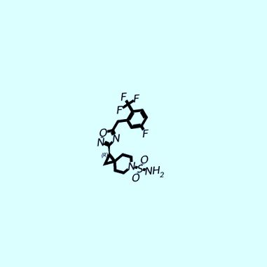 NS(=O)(=O)N1CCC2(CC1)C[C@H]2c1noc(Cc2cc(F)ccc2C(F)(F)F)n1